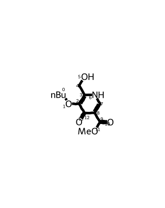 CCCCOc1c(CO)[nH]cc(C(=O)OC)c1=O